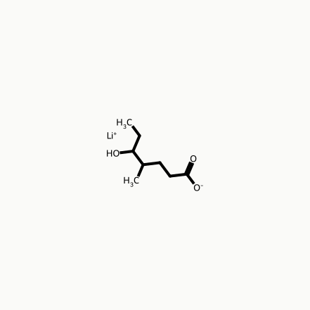 CCC(O)C(C)CCC(=O)[O-].[Li+]